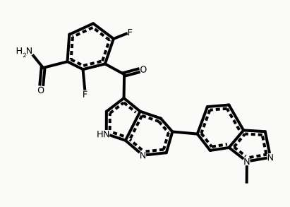 Cn1ncc2ccc(-c3cnc4[nH]cc(C(=O)c5c(F)ccc(C(N)=O)c5F)c4c3)cc21